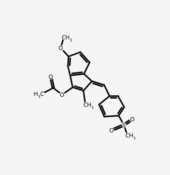 COc1ccc2c(c1)C(OC(C)=O)=C(C)/C2=C\c1ccc(S(C)(=O)=O)cc1